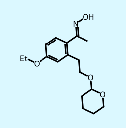 CCOc1ccc(C(C)=NO)c(CCOC2CCCCO2)c1